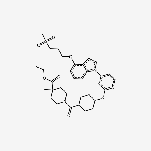 CCOC(=O)C1(C)CCN(C(=O)C2CCC(Nc3nccc(-n4ccc5c(OCCCS(C)(=O)=O)cccc54)n3)CC2)CC1